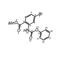 COC(=O)c1ccc(Br)cc1NC(=O)Oc1ccccc1